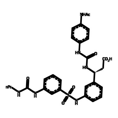 CCCNC(=O)Nc1cccc(S(=O)(=O)Nc2cccc([C@@H](CC(=O)O)NC(=O)Nc3ccc(NC(C)=O)cc3)c2)c1